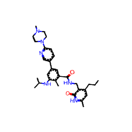 CCCc1cc(C)[nH]c(=O)c1CNC(=O)c1cc(-c2ccc(N3CCN(C)CC3)nc2)cc(NC(C)C)c1C